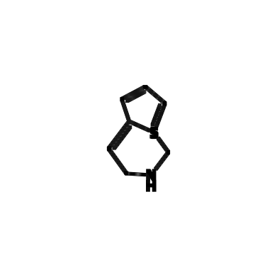 C1=CC2=CCNCS2=C1